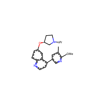 CCCN1CC[C@H](Oc2ccc3nccc(-c4cnc(OC)c(C)c4)c3c2)C1